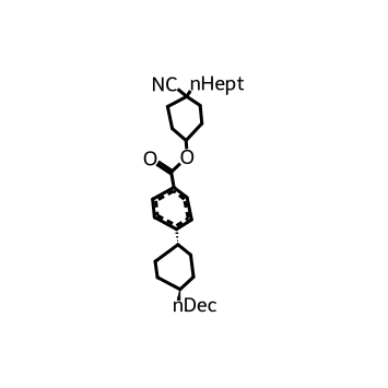 CCCCCCCCCC[C@H]1CC[C@H](c2ccc(C(=O)OC3CCC(C#N)(CCCCCCC)CC3)cc2)CC1